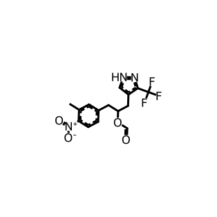 Cc1cc(CC(Cc2c[nH]nc2C(F)(F)F)OC=O)ccc1[N+](=O)[O-]